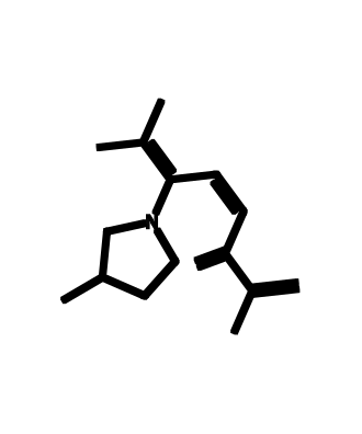 C=C(C)C(=C)/C=C\C(=C(C)C)N1CCC(C)C1